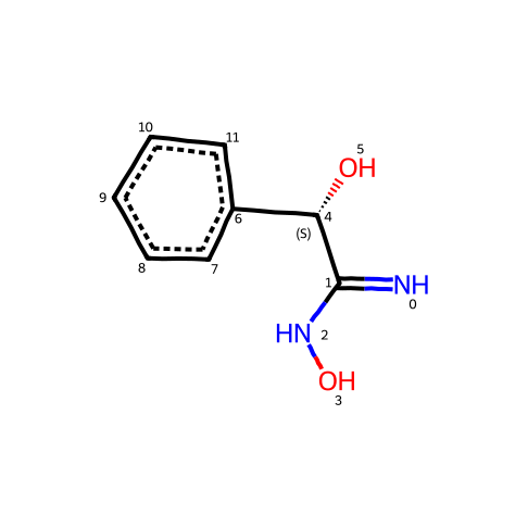 N=C(NO)[C@@H](O)c1ccccc1